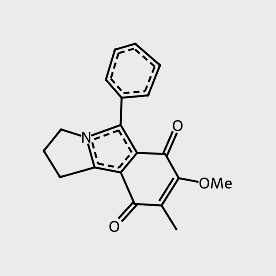 COC1=C(C)C(=O)c2c(c(-c3ccccc3)n3c2CCC3)C1=O